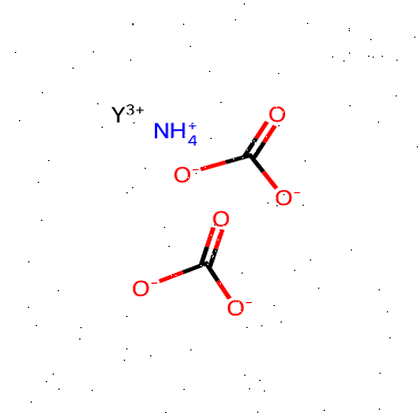 O=C([O-])[O-].O=C([O-])[O-].[NH4+].[Y+3]